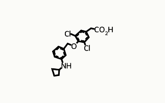 O=C(O)Cc1cc(Cl)c(OCc2cccc(NC3CCC3)c2)c(Cl)c1